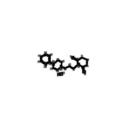 Cl.O=C1CCCC(=O)N1CCCN1CCN(c2ccccn2)CC1